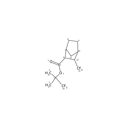 CC(C)(OC(=O)C1C2CCC(C2)C1C(F)(F)F)C(F)(F)F